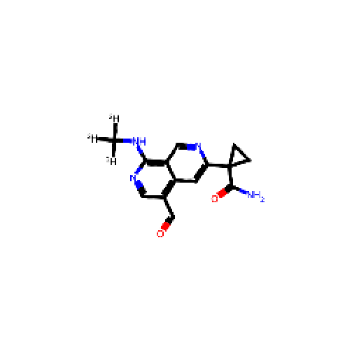 [2H]C([2H])([2H])Nc1ncc(C=O)c2cc(C3(C(N)=O)CC3)ncc12